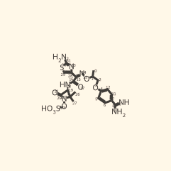 CC(COc1ccc(C(=N)N)cc1)O/N=C(\C(=O)N[C@@H]1C(=O)N(OS(=O)(=O)O)C1(C)C)c1csc(N)n1